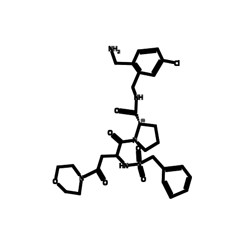 NCc1ccc(Cl)cc1CNC(=O)[C@@H]1CCCN1C(=O)C(CC(=O)N1CCOCC1)NS(=O)(=O)Cc1ccccc1